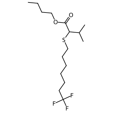 CCCCOC(=O)C(SCCCCCCC(F)(F)F)C(C)C